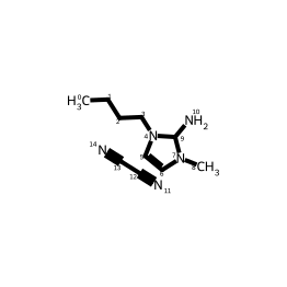 CCCCN1C=CN(C)C1N.N#CC#N